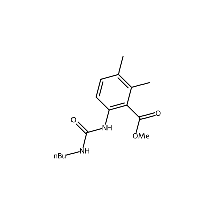 CCCCNC(=O)Nc1ccc(C)c(C)c1C(=O)OC